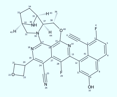 C#Cc1c(F)ccc2cc(O)cc(-c3nc4c5c(nc(C6COC6)c(C#N)c5c3F)N3C[C@H]5CC[C@H](N5)[C@H]3[C@H](C)O4)c12